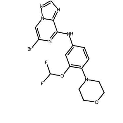 FC(F)Oc1cc(Nc2nc(Br)cn3ncnc23)ccc1N1CCOCC1